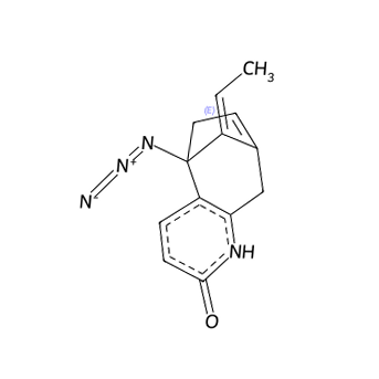 C/C=C1\C2=CCC1(N=[N+]=[N-])c1ccc(=O)[nH]c1C2